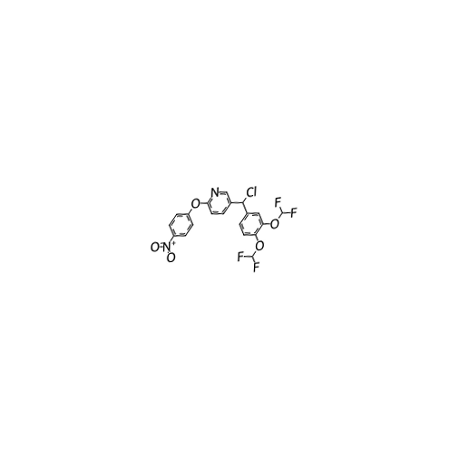 O=[N+]([O-])c1ccc(Oc2ccc(C(Cl)c3ccc(OC(F)F)c(OC(F)F)c3)cn2)cc1